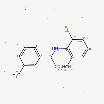 Cc1cccc(C(Nc2c(C)cccc2Cl)C(=O)O)c1